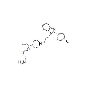 C=C/C(=C\C=C/CN)C1CCN(CCCn2c(-c3ccc(Cl)cc3)nc3ccccc32)CC1